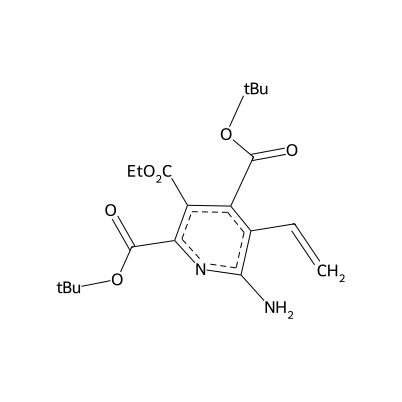 C=Cc1c(N)nc(C(=O)OC(C)(C)C)c(C(=O)OCC)c1C(=O)OC(C)(C)C